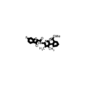 COC(=O)c1ccccc1-c1c(C)nc(NC(=O)c2sc3cc(F)ccc3c2Cl)c(C)c1C